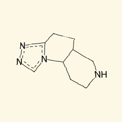 c1nnc2n1C1CCNCC1CC2